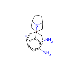 Nc1cccc(C2CC3CCC(C2)N3C2/C=C\CCCCC2)c1N